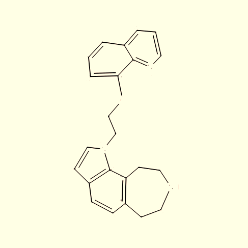 c1cnc2c(OCCn3ccc4ccc5c(c43)CCNCC5)cccc2c1